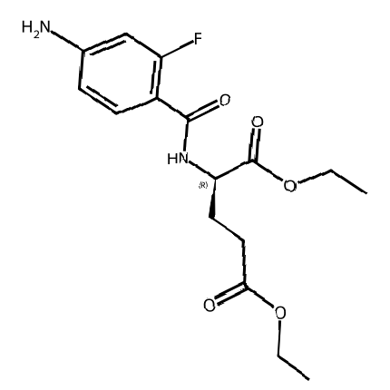 CCOC(=O)CC[C@@H](NC(=O)c1ccc(N)cc1F)C(=O)OCC